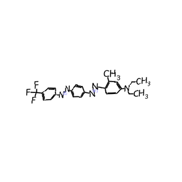 CCN(CC)c1ccc(/N=N/c2ccc(/N=N/c3ccc(C(F)(F)F)cc3)cc2)c(C)c1